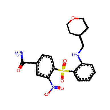 NC(=O)c1ccc(S(=O)(=O)c2ccccc2NCC2CCOCC2)c([N+](=O)[O-])c1